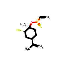 C=C[PH](=S)O[C@@]1(C)CC[C@@H](C(=C)C)C[C@@H]1S